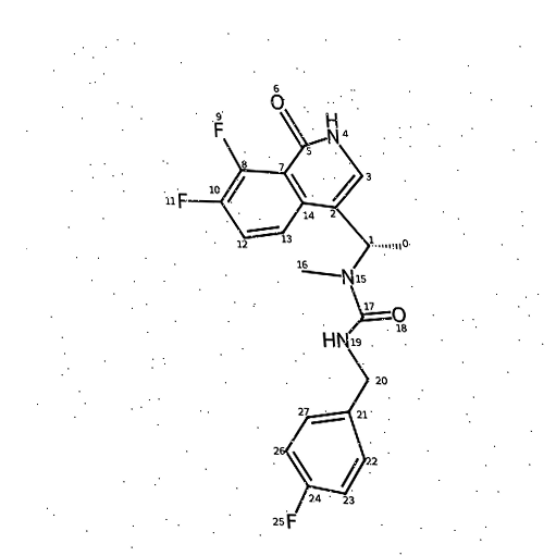 C[C@@H](c1c[nH]c(=O)c2c(F)c(F)ccc12)N(C)C(=O)NCc1ccc(F)cc1